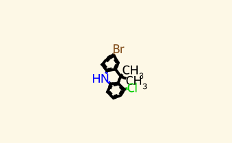 CC1(C)c2cc(Br)ccc2Nc2cccc(Cl)c21